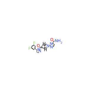 NC(=O)c1ccnc(N2C[C@H]3C[C@@H](C(=O)N4N=CCC4c4cc(F)cc(F)c4)C[C@H]3C2)n1